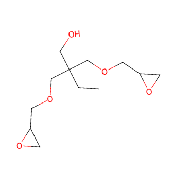 CCC(CO)(COCC1CO1)COCC1CO1